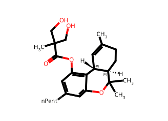 CCCCCc1cc(OC(=O)C(C)(CO)CO)c2c(c1)OC(C)(C)[C@@H]1CCC(C)=C[C@@H]21